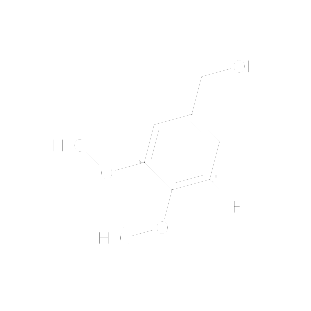 COc1cc(CO)cc(F)c1OC